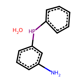 Nc1cccc(Pc2ccccc2)c1.O